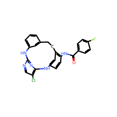 O=C(Nc1ccc2cc1CCc1cccc(c1)Nc1ncc(Cl)c(n1)N2)c1ccc(F)cc1